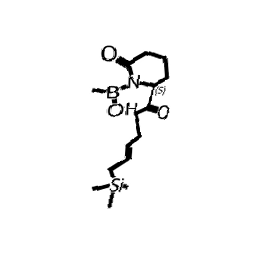 CB(O)N1C(=O)CCC[C@H]1C(=O)CCC=CC[Si](C)(C)C